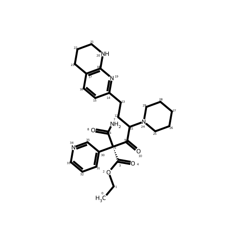 CCOC(=O)[C@](C(N)=O)(C(=O)C(CCc1ccc2c(n1)NCCC2)N1CCCCC1)c1cccnc1